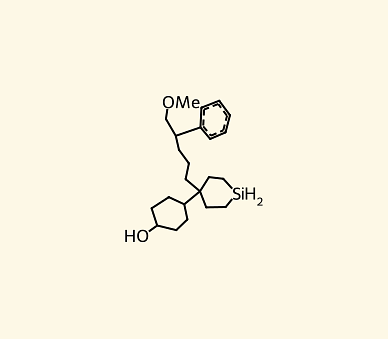 COCC(CCCC1(C2CCC(O)CC2)CC[SiH2]CC1)c1ccccc1